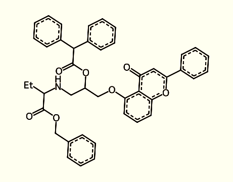 CCC(NCC(COc1cccc2oc(-c3ccccc3)cc(=O)c12)OC(=O)C(c1ccccc1)c1ccccc1)C(=O)OCc1ccccc1